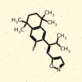 CC(C)/C(=C\c1ccno1)c1cc2c(cc1F)C(C)(C)CCC2(C)C